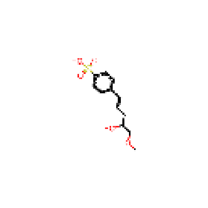 COCC(O)CC=Cc1ccc(S(=O)(=O)O)cc1